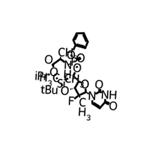 CC(C)OC(=O)[C@H](C)N[P@](=O)(OC[C@H]1O[C@@H](n2ccc(=O)[nH]c2=O)[C@](C)(F)[C@@H]1O[Si](C)(C)C(C)(C)C)Oc1ccccc1